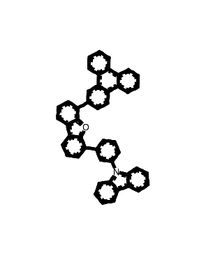 c1cc(-c2cccc3c2oc2c(-c4ccc5c6ccccc6c6ccccc6c5c4)cccc23)cc(-n2c3ccccc3c3ccccc32)c1